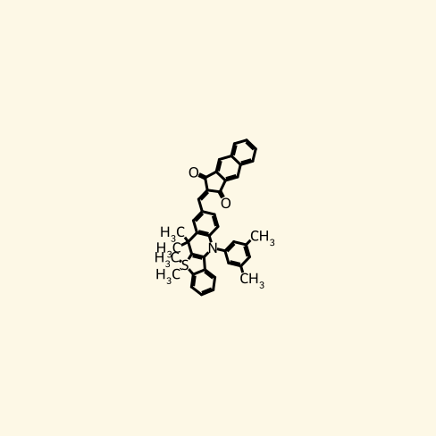 Cc1cc(C)cc(N2C3=C(C(C)(C)c4cc(C=C5C(=O)c6cc7ccccc7cc6C5=O)ccc42)S(C)(C)c2ccccc23)c1